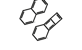 [c]1cccc2c3ccc-3c12.[c]1cccc2ccccc12